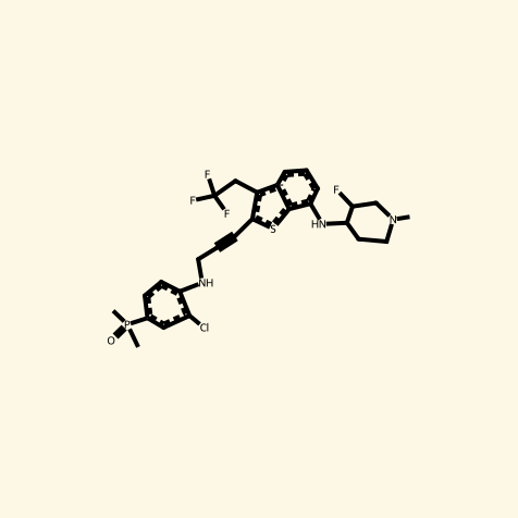 CN1CCC(Nc2cccc3c(CC(F)(F)F)c(C#CCNc4ccc(P(C)(C)=O)cc4Cl)sc23)C(F)C1